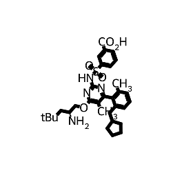 Cc1cccc(CC2CCCC2)c1-c1nc(NS(=O)(=O)c2cccc(C(=O)O)c2)nc(OC[C@H](N)CC(C)(C)C)c1C